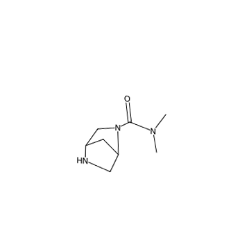 CN(C)C(=O)N1CC2CC1CN2